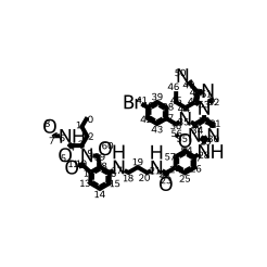 CCCC(C(=O)NC=O)N1C(=O)c2cccc(NCCCNC(=O)c3ccc(Nc4ncc5c(n4)N(Cc4ccc(Br)cc4)C(CC)c4c(C#N)ncn4-5)c(OC)c3)c2C1=O